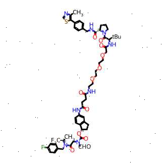 Cc1ncsc1-c1ccc(CNC(=O)[C@@H]2CCCN2C(=O)C(NC(=O)COCCOCCOCCNC(=O)CCC(=O)Nc2ccc3c(c2)CC[C@@H]3OC(=O)N(C=O)CC(=O)N(Cc2ccc(F)cc2)[C@H](C)C(F)(F)F)C(C)(C)C)cc1